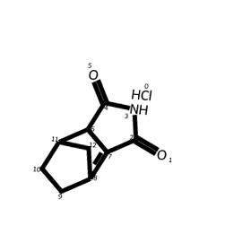 Cl.O=C1NC(=O)C2C1=C1CCC2C1